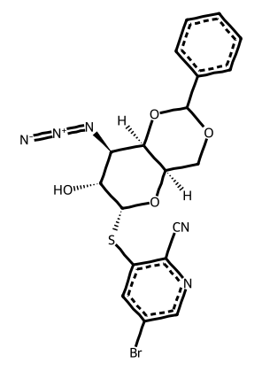 N#Cc1ncc(Br)cc1S[C@H]1O[C@@H]2COC(c3ccccc3)O[C@@H]2[C@H](N=[N+]=[N-])[C@H]1O